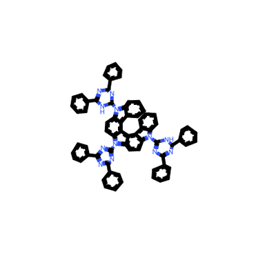 c1ccc(C2=NC(c3ccccc3)NC(n3c4ccccc4c4c5c6c7c8ccccc8n(C8N=C(c9ccccc9)N=C(c9ccccc9)N8)c7ccc6n(-c6nc(-c7ccccc7)nc(-c7ccccc7)n6)c5ccc43)=N2)cc1